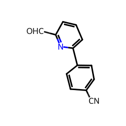 N#Cc1ccc(-c2cccc(C=O)n2)cc1